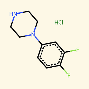 Cl.Fc1ccc(N2CCNCC2)cc1F